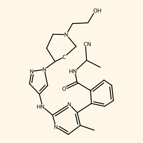 Cc1cnc(Nc2cnn(C3CCN(CCO)CC3)c2)nc1-c1ccccc1C(=O)NC(C)C#N